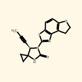 CC#C[C@H]1N(c2nc3c4c(ccc3s2)OCC4)C(=O)NC12CC2